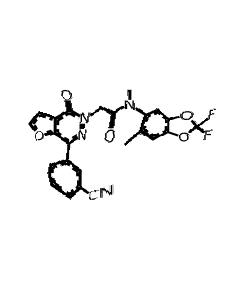 Cc1cc2c(cc1N(C)C(=O)Cn1nc(-c3cccc(C#N)c3)c3occc3c1=O)OC(F)(F)O2